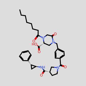 CCCCCCCC(=O)N1CC(=O)N(Cc2ccc(C(=O)N3CC[C@H](C(=O)N[C@H]4C[C@@H]4c4ccccc4)C3)cc2)C[C@@H]1C(=O)O